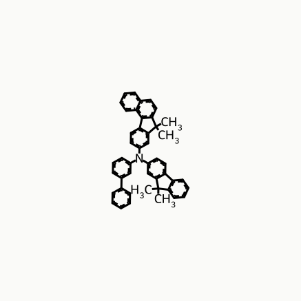 CC1(C)c2ccccc2-c2ccc(N(c3cccc(-c4ccccc4)c3)c3ccc4c(c3)C(C)(C)c3ccc5ccccc5c3-4)cc21